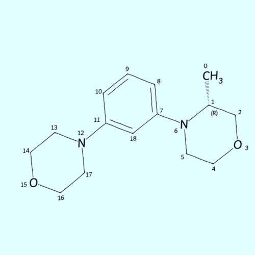 C[C@@H]1COCCN1c1cccc(N2CCOCC2)c1